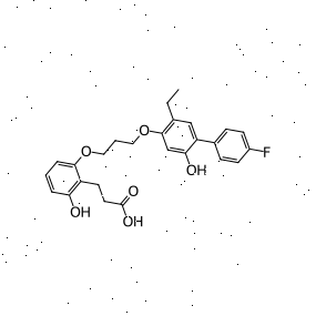 CCc1cc(-c2ccc(F)cc2)c(O)cc1OCCCOc1cccc(O)c1CCC(=O)O